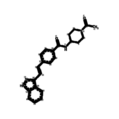 CC(=O)N1CCC(NC(=O)c2ccc(/C=C/c3n[nH]c4ccccc34)cc2)CC1